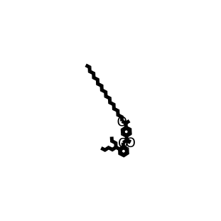 CCCCCCCCCCCCCCCCCCOC(C)c1ccc(C(=O)Oc2ccccc2C(CCC)CCCC)cc1